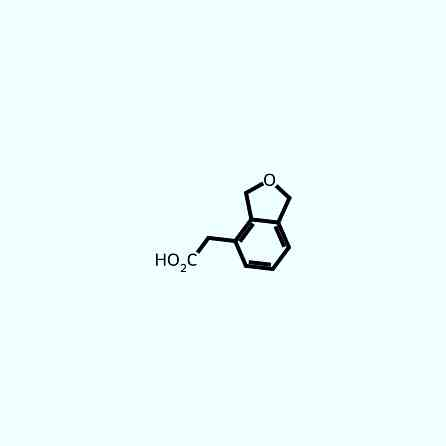 O=C(O)Cc1cccc2c1COC2